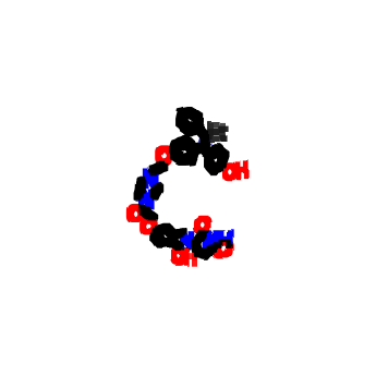 CC/C(=C(\c1ccc(O)cc1)c1ccc(OCCN2CCN(C(=O)COc3ccc4c(c3)CN(C3CCC(=O)NC3=O)C4O)CC2)cc1)c1ccccc1